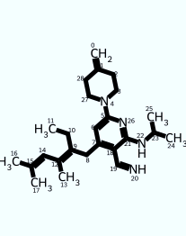 C=C1CCN(c2cc(C/C(CC)=C(\C)C=C(C)C)c(C=N)c(NC(C)C)n2)CC1